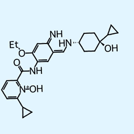 CCOC1=CC(=N)/C(=C\N[C@H]2CC[C@@](O)(C3CC3)CC2)C=C1NC(=O)c1cccc(C2CC2)[n+]1O